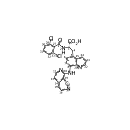 O=C(N[C@@H](Cc1ccc(Nc2nccc3ccncc23)c2ncccc12)C(=O)O)c1c(Cl)cccc1Cl